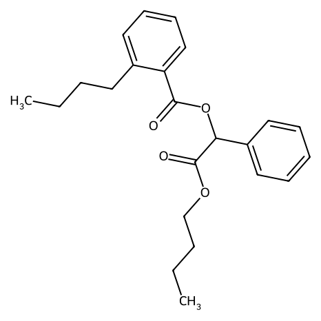 CCCCOC(=O)C(OC(=O)c1ccccc1CCCC)c1ccccc1